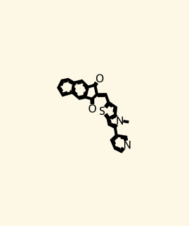 Cn1c(-c2cccnc2)cc2sc(C=C3C(=O)c4cc5ccccc5cc4C3=O)cc21